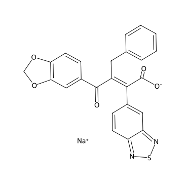 O=C([O-])C(=C(Cc1ccccc1)C(=O)c1ccc2c(c1)OCO2)c1ccc2nsnc2c1.[Na+]